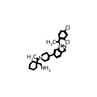 C=C(N1CC=C(c2ccc3cnn(C(C)c4ccc(Cl)cc4Cl)c3c2)CC1)C1(CN)CCCCC1